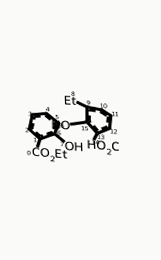 CCOC(=O)c1ccccc1O.CCc1cccc(C(=O)O)c1O